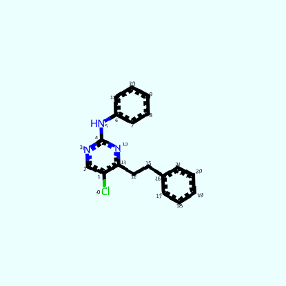 Clc1cnc(Nc2ccccc2)nc1CCc1[c]cccc1